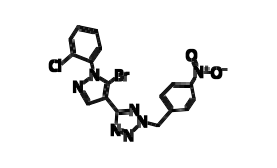 O=[N+]([O-])c1ccc(Cn2nnc(-c3cnn(-c4ccccc4Cl)c3Br)n2)cc1